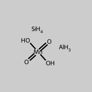 [AlH3].[O]=[Mn](=[O])([OH])[OH].[SiH4]